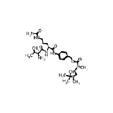 CC(C)C(N)C(=O)N[C@@H](CCCNC(N)=O)C(=O)Nc1ccc(COC(=O)N(C)CCN(C)C(C)(C)C)cc1